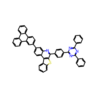 c1ccc(-c2nc(-c3ccccc3)nc(-c3ccc(-c4nc5cc(-c6ccc7c8ccccc8c8ccccc8c7c6)ccc5c5c4sc4ccccc45)cc3)n2)cc1